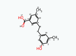 Cc1cc(O)cc(CCc2cc(C)cc(C(=O)O)c2)c1